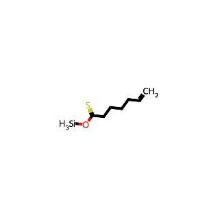 C=CCCCCC(=S)O[SiH3]